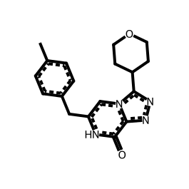 Cc1ccc(Cc2cn3c(C4CCOCC4)nnc3c(=O)[nH]2)cc1